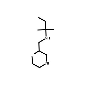 CCC(C)(C)NCC1CNCCO1